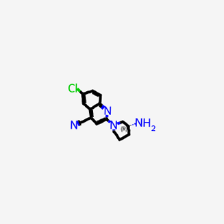 N#Cc1cc(N2CCC[C@@H](N)C2)nc2ccc(Cl)cc12